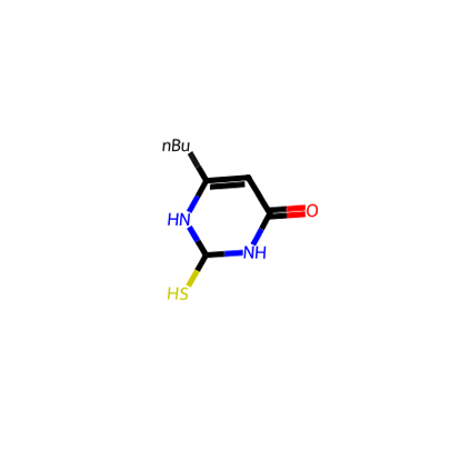 CCCCC1=CC(=O)NC(S)N1